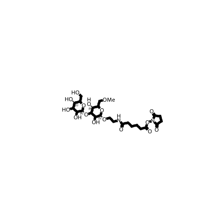 COCC1O[C@H](OCCNC(=O)CCCCC(=O)ON2C(=O)CCC2=O)C(O)C(O[C@H]2OC(CO)[C@@H](O)C(O)C2O)[C@@H]1O